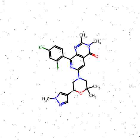 Cc1nc2c(-c3ccc(Cl)cc3F)nc(N3C[C@H](c4cnn(C)c4)OC(C)(C)C3)cc2c(=O)n1C